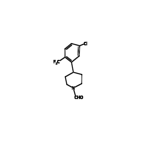 O=CN1CCC(c2cc(Cl)ccc2C(F)(F)F)CC1